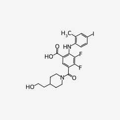 Cc1cc(I)ccc1Nc1c(C(=O)O)cc(C(=O)N2CCC(CCO)CC2)c(F)c1F